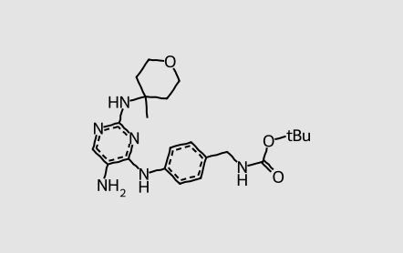 CC1(Nc2ncc(N)c(Nc3ccc(CNC(=O)OC(C)(C)C)cc3)n2)CCOCC1